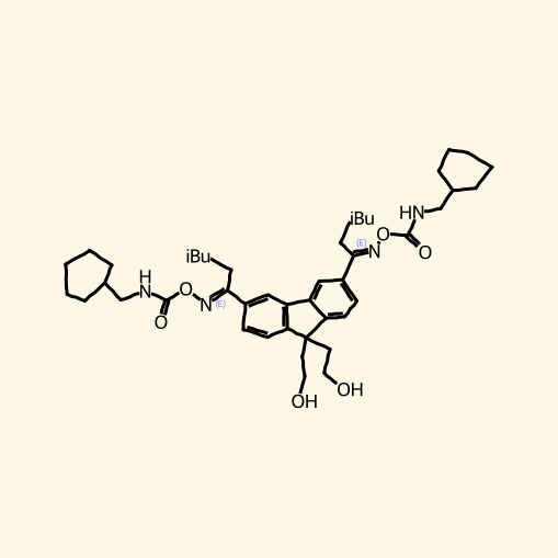 CCC(C)C/C(=N\OC(=O)NCC1CCCCC1)c1ccc2c(c1)-c1cc(/C(CC(C)CC)=N/OC(=O)NCC3CCCCC3)ccc1C2(CCO)CCO